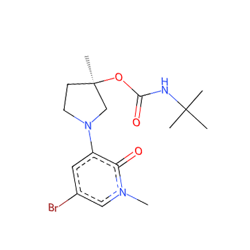 Cn1cc(Br)cc(N2CC[C@@](C)(OC(=O)NC(C)(C)C)C2)c1=O